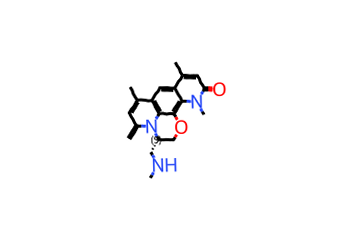 C=C1C=C(C)c2cc3c(C)cc(=O)n(C)c3c3c2N1[C@@H](CNC)CO3